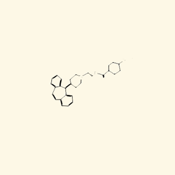 CC(=O)NC1CCC(C(=O)NCCN2CCC(=C3c4ccccc4C=Cc4ccccc43)CC2)CC1